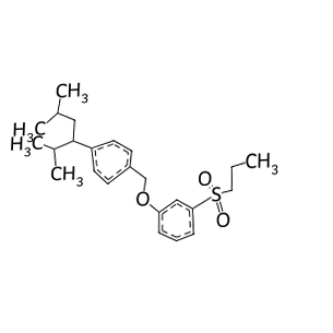 CCCS(=O)(=O)c1cccc(OCc2ccc(C(CC(C)C)C(C)C)cc2)c1